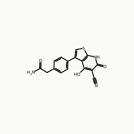 N#Cc1c(O)c2c(-c3ccc(CC(N)=O)cc3)csc2[nH]c1=O